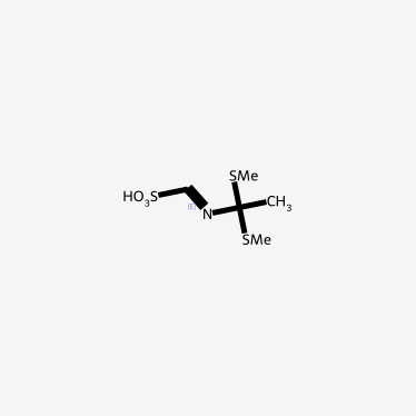 CSC(C)(/N=C/S(=O)(=O)O)SC